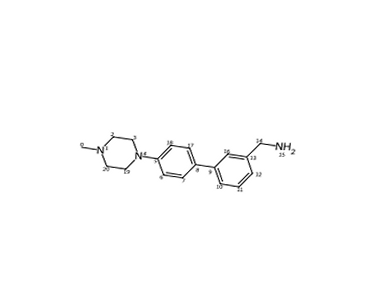 CN1CCN(c2ccc(-c3cccc(CN)c3)cc2)CC1